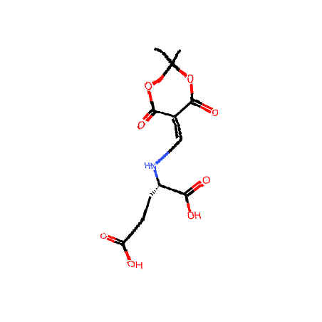 CC1(C)OC(=O)C(=CN[C@@H](CCC(=O)O)C(=O)O)C(=O)O1